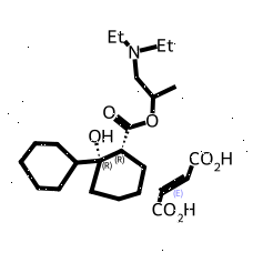 CCN(CC)CC(C)OC(=O)[C@@H]1CCCC[C@@]1(O)C1CCCCC1.O=C(O)/C=C/C(=O)O